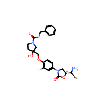 CC(=O)C(N)[C@@H]1CN(c2ccc(OCC3(O)CCN(C(=O)OCc4ccccc4)C3)c(F)c2)C(=O)O1